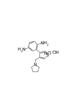 Cl.Cl.Nc1ccc(N)c(-c2cscc2CN2CCCC2)c1